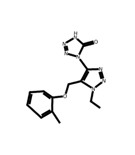 CCn1nnc(-n2nn[nH]c2=O)c1COc1ccccc1C